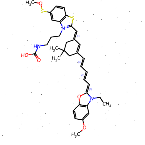 CCN1/C(=C/C=C/C=C/C2=CC(=C/c3sc4ccc(SOC)cc4[n+]3CCCNC(=O)O)/CC(C)(C)C2)Oc2ccc(OC)cc21